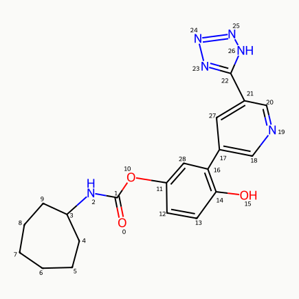 O=C(NC1CCCCCC1)Oc1ccc(O)c(-c2cncc(-c3nnn[nH]3)c2)c1